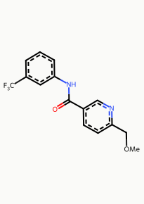 COCc1ccc(C(=O)Nc2cccc(C(F)(F)F)c2)cn1